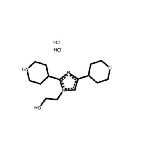 Cl.Cl.OCCn1cc(C2CCOCC2)nc1C1CCNCC1